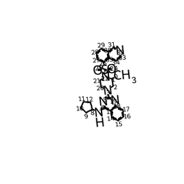 CC1CN(c2nc(NC3CCCC3)c3ccccc3n2)CCN1S(=O)(=O)c1cccc2cnccc12